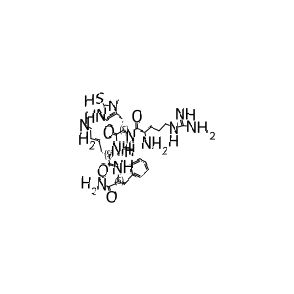 CN1C(C[C@H](NC(=O)C(N)CCCNC(=N)N)C(=O)N[C@@H](CCCCN)C(=O)N[C@@H](Cc2ccccc2)C(N)=O)=CNC1S